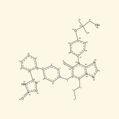 CCCc1c(Cc2ccc(-c3ccccc3-c3noc(=O)[nH]3)cc2)c(=O)n(-c2ccc(OC(C)(C)CO)cc2)c2ncnn12